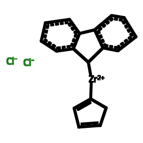 C1=CC[C]([Zr+2][CH]2c3ccccc3-c3ccccc32)=C1.[Cl-].[Cl-]